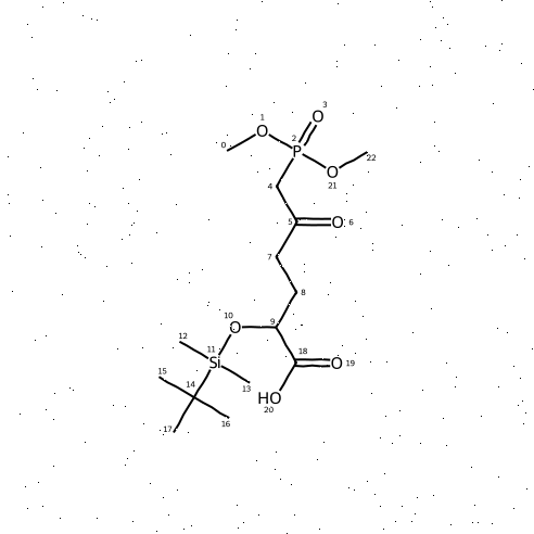 COP(=O)(CC(=O)CCC(O[Si](C)(C)C(C)(C)C)C(=O)O)OC